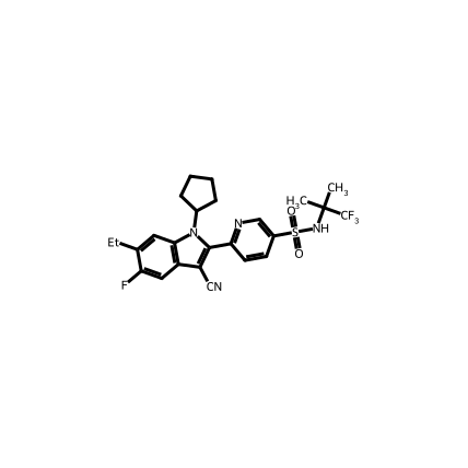 CCc1cc2c(cc1F)c(C#N)c(-c1ccc(S(=O)(=O)NC(C)(C)C(F)(F)F)cn1)n2C1CCCC1